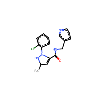 O=C(NCc1cccnc1)C1=CC(C(F)(F)F)NN1c1ccccc1Cl